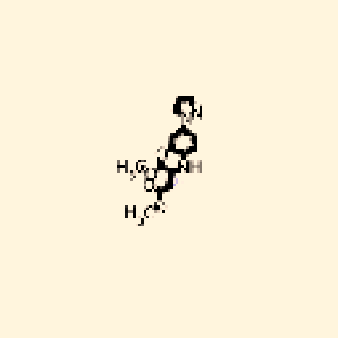 COC(=O)/C=C(/Nc1ccc(-n2cccn2)cc1)C(=O)OC